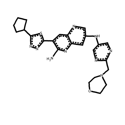 Nc1nc2cc(Nc3cnc(CN4CCOCC4)nc3)cnc2cc1-c1nnc(C2CCCC2)s1